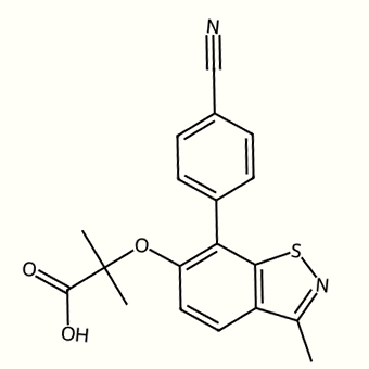 Cc1nsc2c(-c3ccc(C#N)cc3)c(OC(C)(C)C(=O)O)ccc12